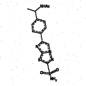 CC(=O)NC(C)c1ccc(-c2cn3nc(S(N)(=O)=O)sc3n2)cc1